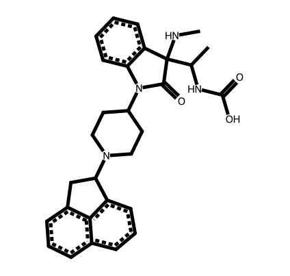 CNC1(C(C)NC(=O)O)C(=O)N(C2CCN(C3Cc4cccc5cccc3c45)CC2)c2ccccc21